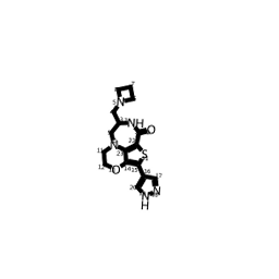 O=C1NC(CN2CCC2)CN2CCOc3c(-c4cn[nH]c4)sc1c32